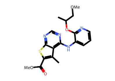 COCC(C)Oc1ncccc1Nc1ncnc2sc(C(=O)OC)c(C)c12